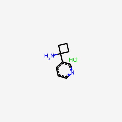 Cl.NC1(c2cccnc2)CCC1